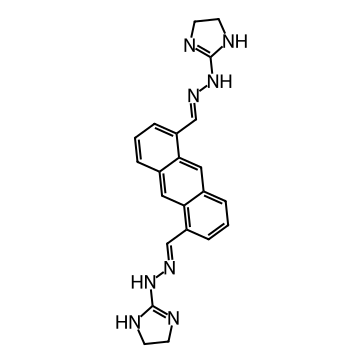 C(=N\NC1=NCCN1)/c1cccc2cc3c(/C=N/NC4=NCCN4)cccc3cc12